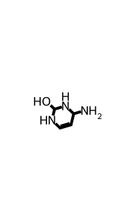 NC1C=CNC(O)N1